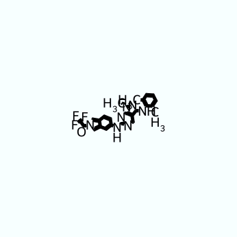 Cc1cccc(C)c1Nc1nn(C)c2nc(Nc3ccc4cn(C(=O)C(F)(F)F)cc4c3)ncc12